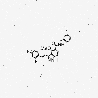 COc1c(C(=O)NCc2ccccc2)ccc2[nH]nc(/C=C/c3ccc(F)cc3F)c12